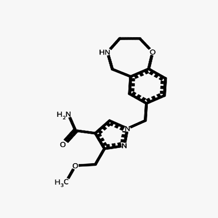 COCc1nn(Cc2ccc3c(c2)CNCCO3)cc1C(N)=O